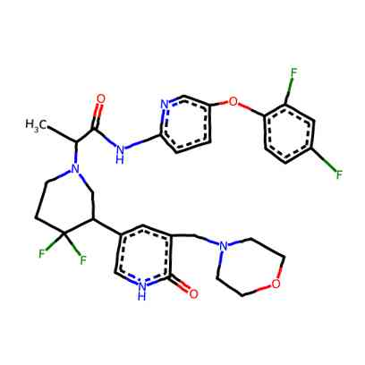 CC(C(=O)Nc1ccc(Oc2ccc(F)cc2F)cn1)N1CCC(F)(F)C(c2c[nH]c(=O)c(CN3CCOCC3)c2)C1